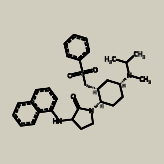 CC(C)N(C)[C@@H]1CC[C@H](N2CCC(Nc3cccc4ccccc34)C2=O)[C@H](CS(=O)(=O)c2ccccc2)C1